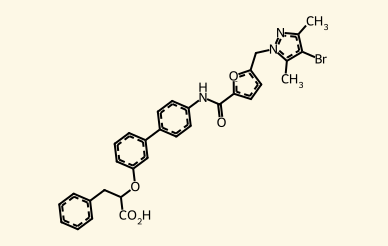 Cc1nn(Cc2ccc(C(=O)Nc3ccc(-c4cccc(OC(Cc5ccccc5)C(=O)O)c4)cc3)o2)c(C)c1Br